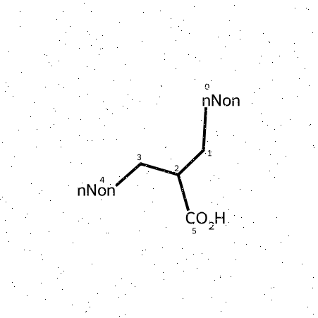 CCCCCCCCCCC(CCCCCCCCCC)C(=O)O